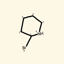 BrC1C[CH]CCN1